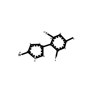 Cc1cc(F)c(-c2ccc(Br)nc2)c(F)c1